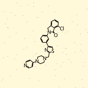 O=C1c2c(Cl)cccc2CN1c1cccc(-c2csc(CN3CCN(c4ccncc4)CC3)n2)c1